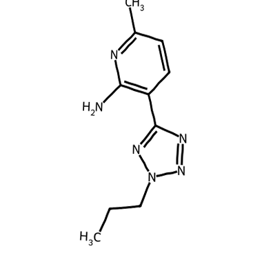 CCCn1nnc(-c2ccc(C)nc2N)n1